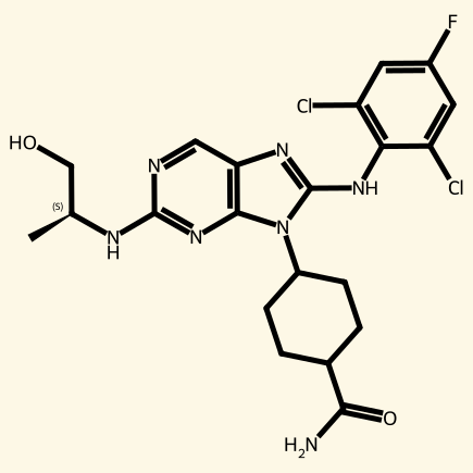 C[C@@H](CO)Nc1ncc2nc(Nc3c(Cl)cc(F)cc3Cl)n(C3CCC(C(N)=O)CC3)c2n1